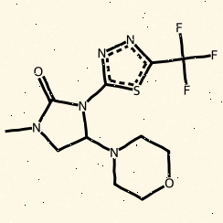 CN1CC(N2CCOCC2)N(c2nnc(C(F)(F)F)s2)C1=O